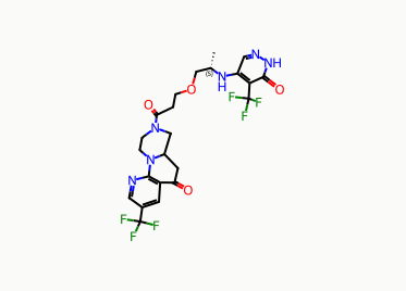 C[C@@H](COCCC(=O)N1CCN2c3ncc(C(F)(F)F)cc3C(=O)CC2C1)Nc1cn[nH]c(=O)c1C(F)(F)F